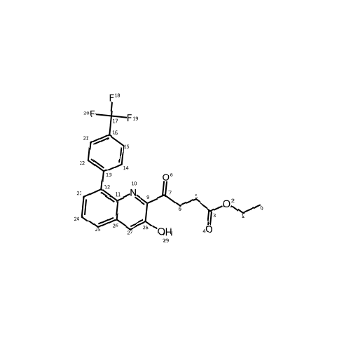 CCOC(=O)CCC(=O)c1nc2c(-c3ccc(C(F)(F)F)cc3)cccc2cc1O